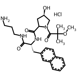 COC(C)(C)C(=O)N1C[C@H](O)CC1C(=O)N[C@H](Cc1ccc2ccccc2c1)C(=O)NCCCN.Cl